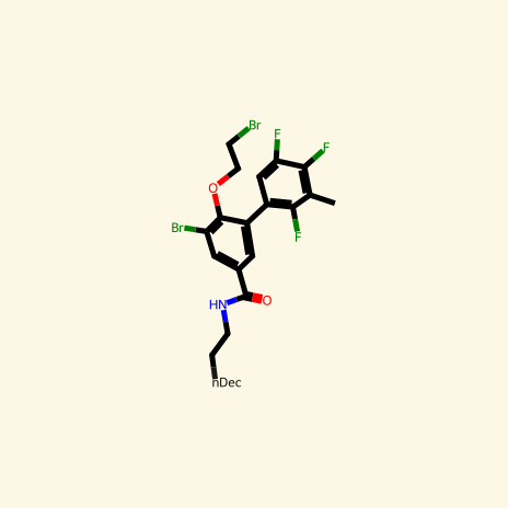 CCCCCCCCCCCCNC(=O)c1cc(Br)c(OCCBr)c(-c2cc(F)c(F)c(C)c2F)c1